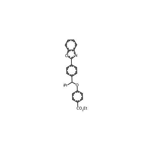 CCOC(=O)c1ccc(OC(c2ccc(-c3nc4ccccc4o3)cc2)C(C)C)cc1